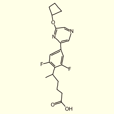 CC(CCCC(=O)O)c1c(F)cc(-c2cncc(OC3CCC3)n2)cc1F